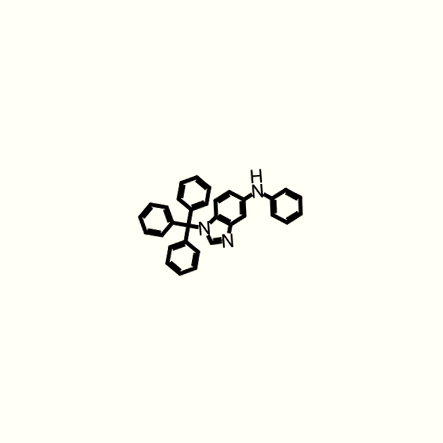 c1ccc(Nc2ccc3c(c2)ncn3C(c2ccccc2)(c2ccccc2)c2ccccc2)cc1